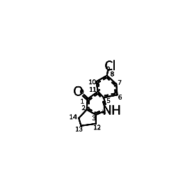 O=c1c2c([nH]c3ccc(Cl)cc13)CCC2